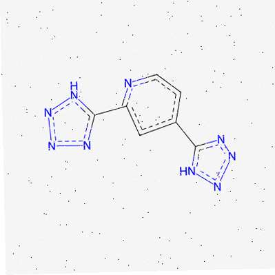 c1cc(-c2nnn[nH]2)cc(-c2nnn[nH]2)n1